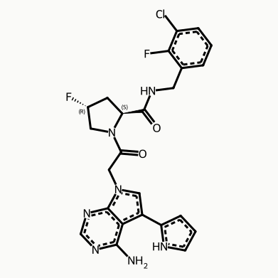 Nc1ncnc2c1c(-c1ccc[nH]1)cn2CC(=O)N1C[C@H](F)C[C@H]1C(=O)NCc1cccc(Cl)c1F